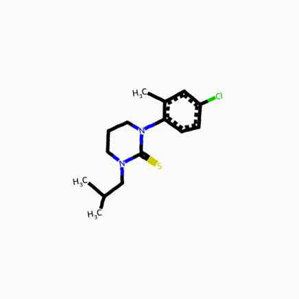 Cc1cc(Cl)ccc1N1CCCN(CC(C)C)C1=S